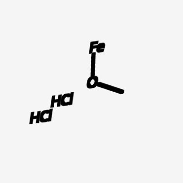 C[O][Fe].Cl.Cl